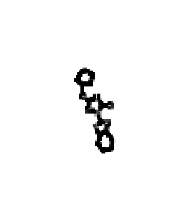 O=c1oc(Oc2ccccc2)nn1-c1nc2ccccc2o1